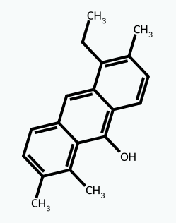 CCc1c(C)ccc2c(O)c3c(C)c(C)ccc3cc12